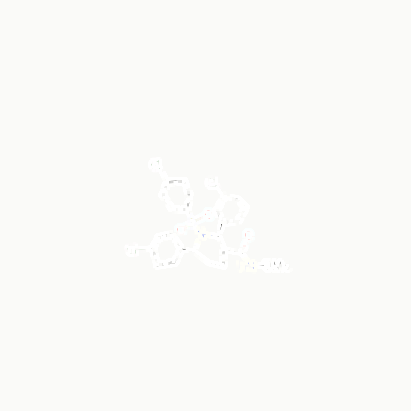 CONC(=O)C1=CC[C@@H](c2ccc(Cl)cc2)N(S(=O)(=O)c2ccc(Cl)cc2)[C@H]1c1cccc(Cl)c1